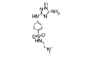 CN(C)CCNS(=O)(=O)c1ccc(Nc2n[nH]c(N)n2)cc1